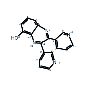 Oc1cccc2nc(-c3cccnc3)c(-c3cccnc3)nc12